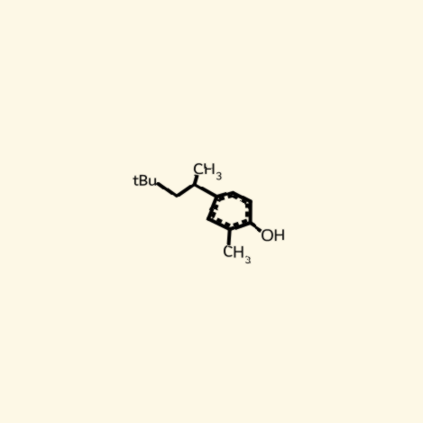 Cc1cc(C(C)CC(C)(C)C)ccc1O